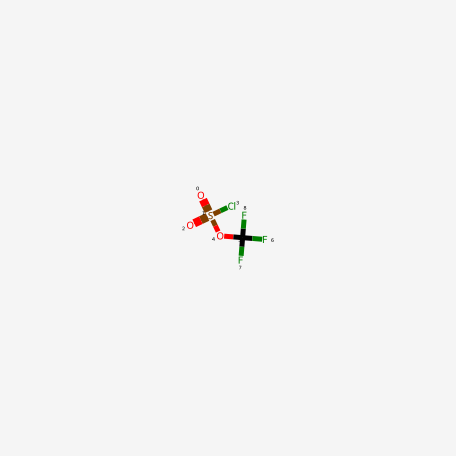 O=S(=O)(Cl)OC(F)(F)F